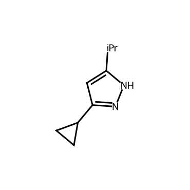 CC(C)c1cc(C2CC2)n[nH]1